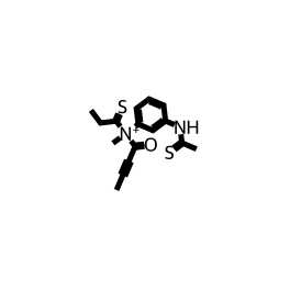 CC#CC(=O)[N+](C)(C(=S)CC)c1cccc(NC(C)=S)c1